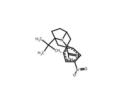 CC(C)(C)C12CCC(CN(C(=O)O)C1)N2c1ccc([N+](=O)[O-])cc1